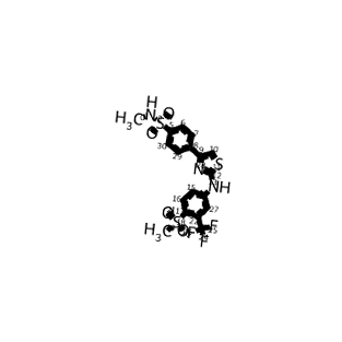 CNS(=O)(=O)c1ccc(-c2csc(Nc3ccc(S(C)(=O)=O)c(C(F)(F)F)c3)n2)cc1